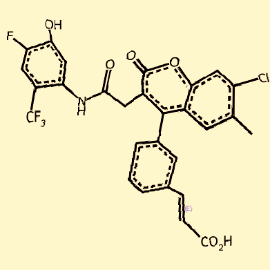 Cc1cc2c(-c3cccc(/C=C/C(=O)O)c3)c(CC(=O)Nc3cc(O)c(F)cc3C(F)(F)F)c(=O)oc2cc1Cl